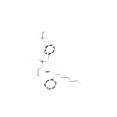 CCCCCCN(N=C1SCCN1C(=S)Nc1cccc(OC(F)(F)C(F)F)c1)c1ccccc1